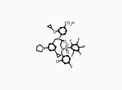 O=C(O)c1ccc(N(Cc2cc(C3CC3)cc(N3CCCC3)c2)C(=O)CN(Cc2ccc(F)cc2Cl)S(=O)(=O)c2c(F)c(F)c(F)c(F)c2F)c(OC2CC2)c1